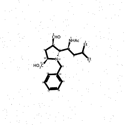 CCC(CC)C[C@H](NC(C)=O)[C@H]1[C@H](C=O)C[C@H](C(=O)O)N1Cc1ccccc1